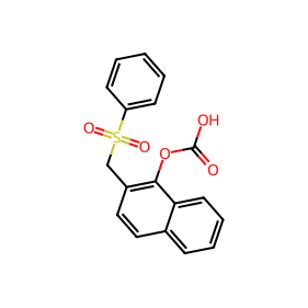 O=C(O)Oc1c(CS(=O)(=O)c2ccccc2)ccc2ccccc12